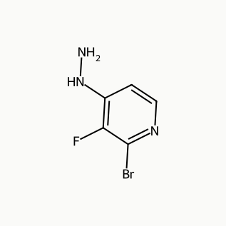 NNc1ccnc(Br)c1F